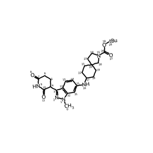 Cn1nc(C2CCC(=O)NC2=O)c2ccc(NC3CCC4(CC3)CCN(C(=O)OC(C)(C)C)C4)cc21